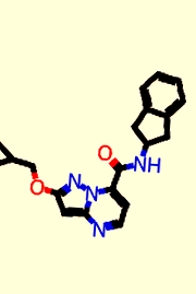 O=C(NC1Cc2ccccc2C1)c1ccnc2cc(OCC3CC3)nn12